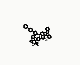 c1ccc(-c2ccc(-c3ccc(N(c4ccc5c(c4)C4(c6ccccc6Sc6ccccc64)c4ccc6ccccc6c4-5)c4cccc5c4-c4ccccc4C54c5ccccc5Oc5ccccc54)cc3)cc2)cc1